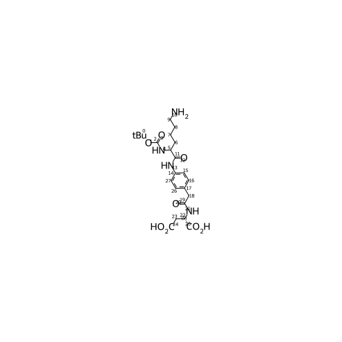 CC(C)(C)OC(=O)NC(CCCCN)C(=O)Nc1ccc(CC(=O)N[C@@H](CC(=O)O)C(=O)O)cc1